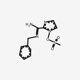 CS(=O)(=O)On1ccnc1C(N)=NCc1ccccc1